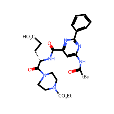 CCOC(=O)N1CCN(C(=O)[C@H](CCC(=O)O)NC(=O)c2cc(NC(=O)C(C)(C)C)nc(-c3ccccc3)n2)CC1